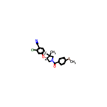 CSc1ccc(C(=O)N2C[C@H](Oc3ccc(C#N)c(Cl)c3)C(C)(C)C2)cc1